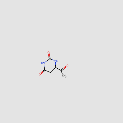 CC(=O)C1CC(=O)NC(=O)N1